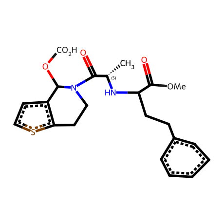 COC(=O)C(CCc1ccccc1)N[C@@H](C)C(=O)N1CCc2sccc2C1OC(=O)O